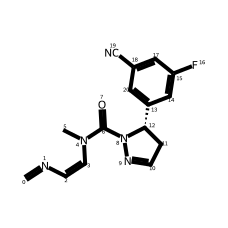 C=N/C=C\N(C)C(=O)N1N=CC[C@H]1c1cc(F)cc(C#N)c1